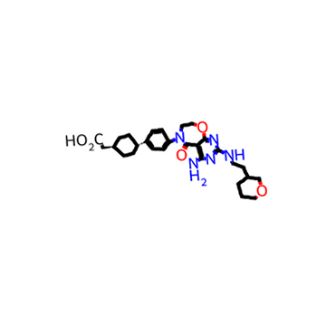 Nc1nc(NCCC2CCCOC2)nc2c1C(=O)N(c1ccc([C@H]3CC[C@H](CC(=O)O)CC3)cc1)CCO2